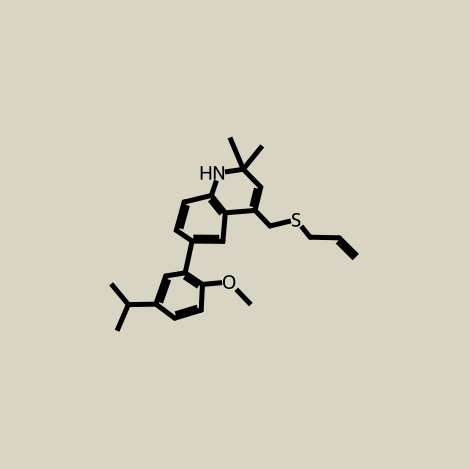 C=CCSCC1=CC(C)(C)Nc2ccc(-c3cc(C(C)C)ccc3OC)cc21